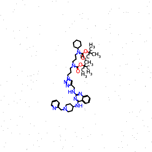 CC(C)(C)OC(=O)N(CCCN(C(=O)OC(C)(C)C)C1CCCCC1)CCCn1cc(CNc2nc(NC3CCN(Cc4ccccn4)CC3)c3ccccc3n2)nn1